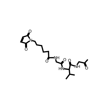 CC(=O)CNC(=O)C(NC(=O)CNC(=O)CCCCCN1C(=O)C=CC1=O)C(C)C